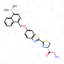 NOC(=O)[C@H]1CSC(c2nc3ccc(OCc4ccc(B(N=O)N=O)c5ccccc45)cc3s2)=N1